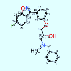 CN(Cc1ccccc1)C[C@@H](O)COc1cccc(-c2noc3cc(F)ccc23)c1